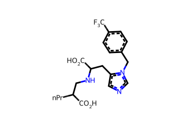 CCCC(CNC(Cc1cncn1Cc1ccc(C(F)(F)F)cc1)C(=O)O)C(=O)O